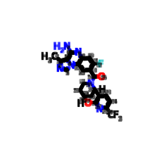 Cc1ncn2c1c(N)nc1cc(F)c(C(=O)N3CC[C@H]4C[C@@H]3c3ccc(C(F)(F)F)nc3O4)cc12